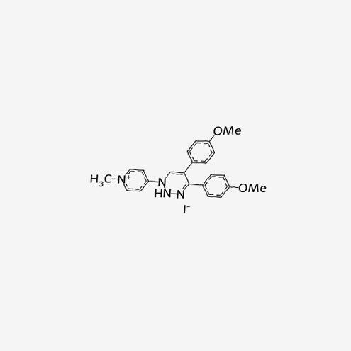 COc1ccc(C2=CN(c3cc[n+](C)cc3)NN=C2c2ccc(OC)cc2)cc1.[I-]